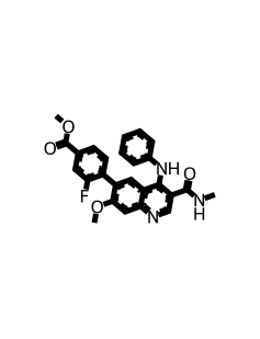 CNC(=O)c1cnc2cc(OC)c(-c3ccc(C(=O)OC)cc3F)cc2c1Nc1ccccc1